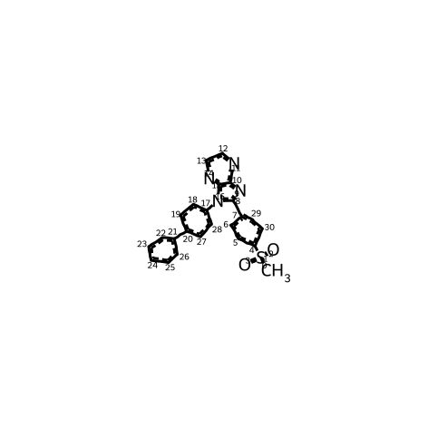 CS(=O)(=O)c1ccc(-c2nc3nccnc3n2-c2ccc(-c3ccccc3)cc2)cc1